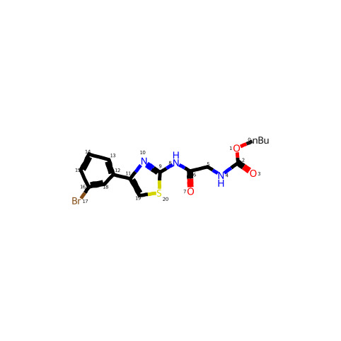 CCCCOC(=O)NCC(=O)Nc1nc(-c2cccc(Br)c2)cs1